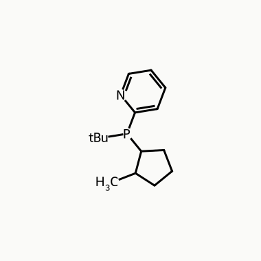 CC1CCCC1P(c1ccccn1)C(C)(C)C